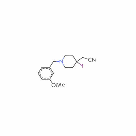 COc1cccc(CN2CCC(I)(CC#N)CC2)c1